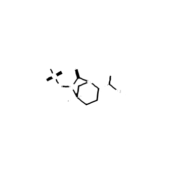 NC(O)[C@@H]1CC[C@@H]2CN1C(=O)N2OS(=O)(=O)O